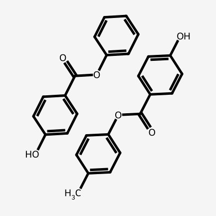 Cc1ccc(OC(=O)c2ccc(O)cc2)cc1.O=C(Oc1ccccc1)c1ccc(O)cc1